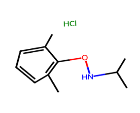 Cc1cccc(C)c1ONC(C)C.Cl